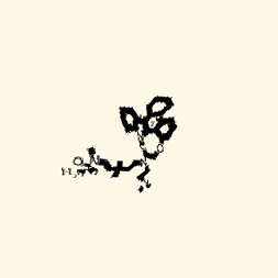 CN(C)CCN(CCC(C)(C)CCN(C)S(N)(=O)=O)[C@H]1COc2cccc(C(=O)O)c2-c2c(C3CCCCC3)c3ccccc3n2C1